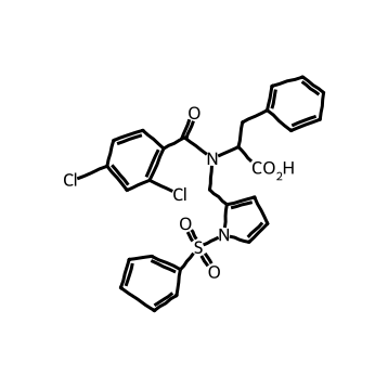 O=C(O)C(Cc1ccccc1)N(Cc1cccn1S(=O)(=O)c1ccccc1)C(=O)c1ccc(Cl)cc1Cl